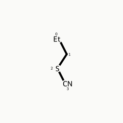 CCCSC#N